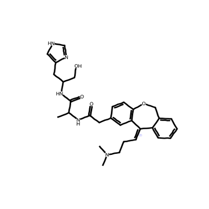 CC(NC(=O)Cc1ccc2c(c1)/C(=C\CCN(C)C)c1ccccc1CO2)C(=O)NC(CO)Cc1c[nH]cn1